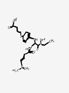 CCN(O)C(=O)C(NC(=O)CCCN(C)C)Nc1ccc(OCCCC(=O)O)cc1